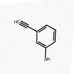 C#Cc1c[c]cc(CCC)c1